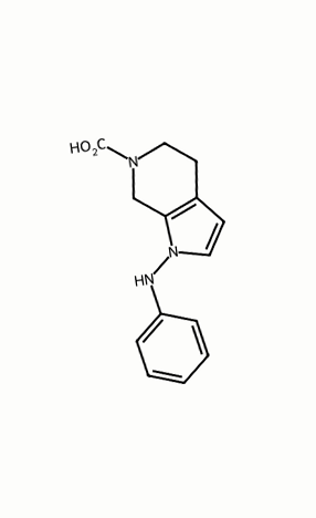 O=C(O)N1CCc2ccn(Nc3ccccc3)c2C1